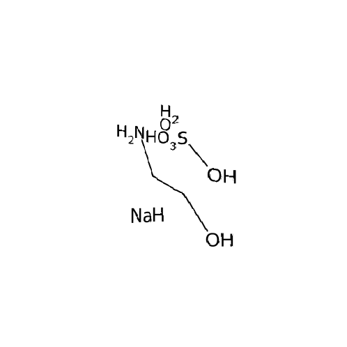 NCCO.O.O=S(=O)(O)O.[NaH]